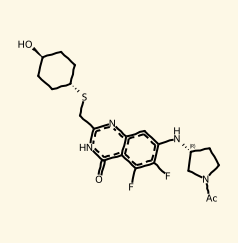 CC(=O)N1CC[C@@H](Nc2cc3nc(CS[C@H]4CC[C@H](O)CC4)[nH]c(=O)c3c(F)c2F)C1